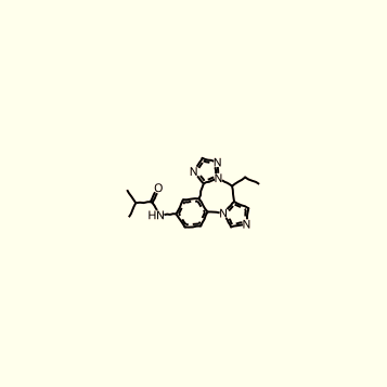 CCC1c2cncn2-c2ccc(NC(=O)C(C)C)cc2-c2ncnn21